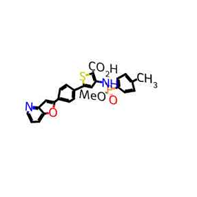 COP(=O)(Nc1cc(-c2ccc(-c3cc4ncccc4o3)cc2)sc1C(=O)O)c1ccc(C)cc1